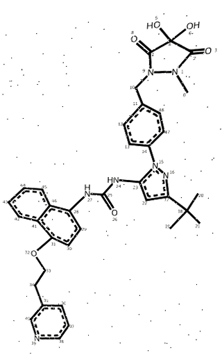 CN1C(=O)C(O)(O)C(=O)N1Cc1ccc(-n2nc(C(C)(C)C)cc2NC(=O)Nc2ccc(OCCc3cccnc3)c3ccccc23)cc1